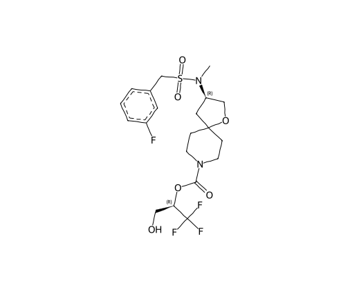 CN([C@H]1COC2(CCN(C(=O)O[C@H](CO)C(F)(F)F)CC2)C1)S(=O)(=O)Cc1cccc(F)c1